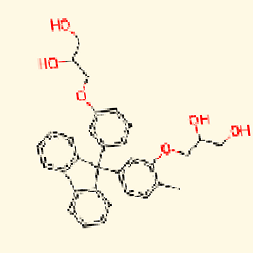 Cc1ccc(C2(c3cccc(OCC(O)CO)c3)c3ccccc3-c3ccccc32)cc1OCC(O)CO